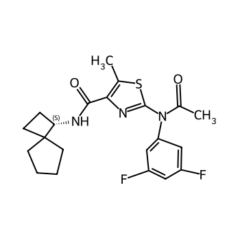 CC(=O)N(c1cc(F)cc(F)c1)c1nc(C(=O)N[C@H]2CCC23CCCC3)c(C)s1